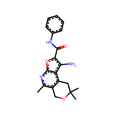 Cc1nc2oc(C(=O)Nc3ccccc3)c(N)c2c2c1COC(C)(C)C2